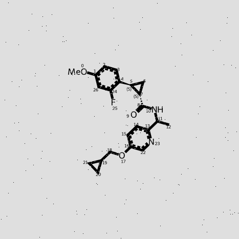 COc1ccc([C@H]2C[C@@H]2C(=O)NC(C)c2ccc(OCC3CC3)cn2)c(F)c1